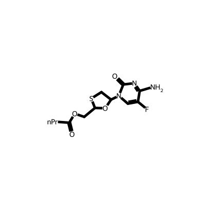 CCCC(=O)OCC1OC(n2cc(F)c(N)nc2=O)CS1